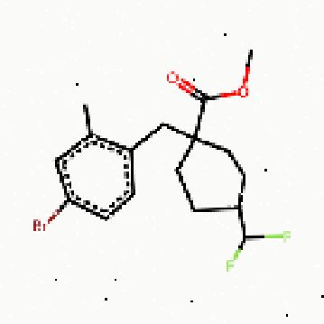 COC(=O)C1(Cc2ccc(Br)cc2C)CCC(C(F)F)CC1